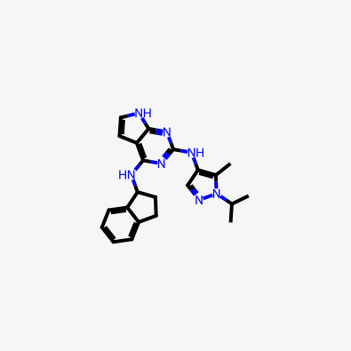 Cc1c(Nc2nc(NC3CCc4ccccc43)c3cc[nH]c3n2)cnn1C(C)C